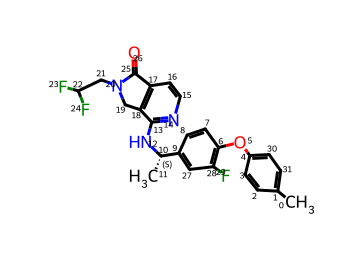 Cc1ccc(Oc2ccc([C@H](C)Nc3nccc4c3CN(CC(F)F)C4=O)cc2F)cc1